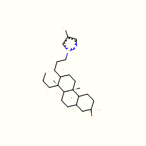 C[C@@H]1CC[C@H]([C@H](C)Cn2cc(C#N)cn2)[C@@]2(C)CC[C@H]3[C@@H](CC[C@@H]4C[C@](C)(O)CC[C@@H]43)[C@H]12